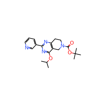 CC(C)Oc1nc(-c2cccnc2)nc2c1CN(C(=O)OC(C)(C)C)CC2